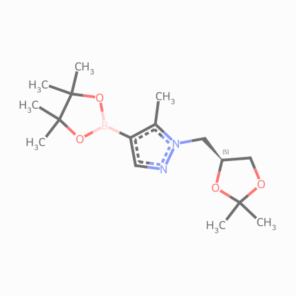 Cc1c(B2OC(C)(C)C(C)(C)O2)cnn1C[C@H]1COC(C)(C)O1